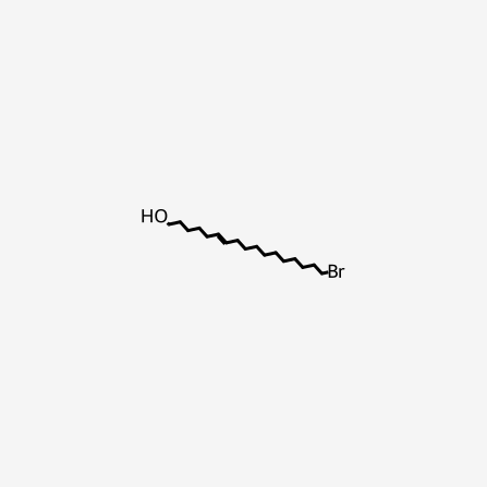 OCCCCC/C=C/CCCCCCCCCCBr